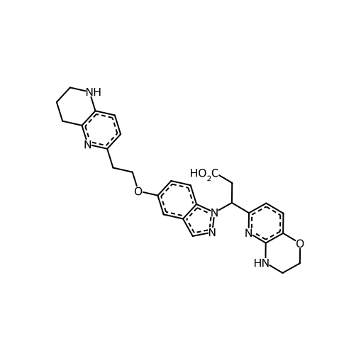 O=C(O)CC(c1ccc2c(n1)NCCO2)n1ncc2cc(OCCc3ccc4c(n3)CCCN4)ccc21